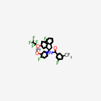 CC(C)Oc1cc(C(Cc2ccccc2)(NC(=O)c2cc(F)cc(C(F)(F)F)c2)c2cc(F)cc(OC(F)(F)C(F)F)c2)ccc1F